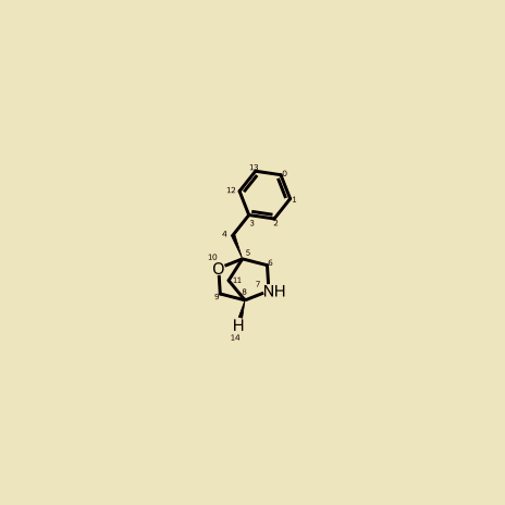 c1ccc(C[C@]23CN[C@H](CO2)C3)cc1